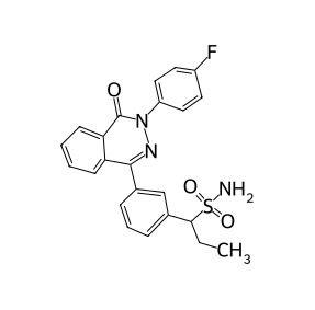 CCC(c1cccc(-c2nn(-c3ccc(F)cc3)c(=O)c3ccccc23)c1)S(N)(=O)=O